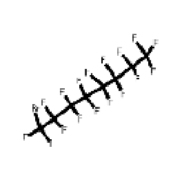 FC(F)(F)C(F)(F)C(F)(F)C(F)(F)C(F)(F)C(F)(F)C(F)(F)C(F)(Br)I